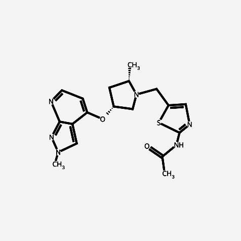 CC(=O)Nc1ncc(CN2C[C@H](Oc3ccnc4nn(C)cc34)C[C@@H]2C)s1